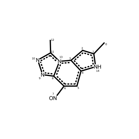 Cc1cc2c(cc(N=O)c3nnc(C)n32)[nH]1